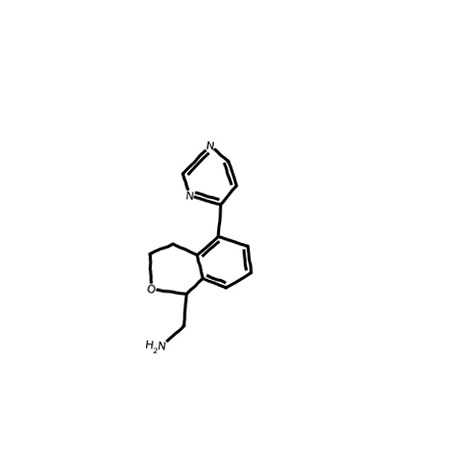 NCC1OCCc2c(-c3ccncn3)cccc21